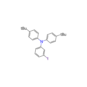 CC(C)(C)c1ccc(N(c2ccc(C(C)(C)C)cc2)c2cccc(I)c2)cc1